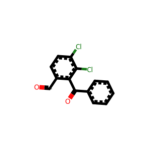 O=[C]c1ccc(Cl)c(Cl)c1C(=O)c1ccccc1